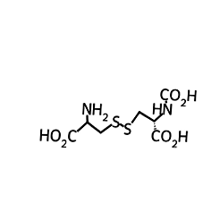 NC(CSSC[C@H](NC(=O)O)C(=O)O)C(=O)O